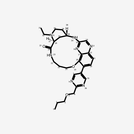 CCCOCc1ncc(-c2ccc3ncc4nc3c2OCCCNC(=O)[C@@H]2C[C@H](CCN2CC)N4)cn1